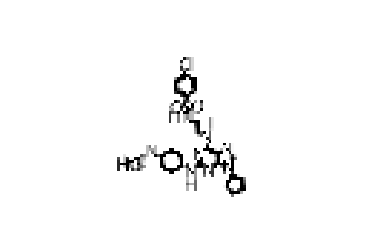 Cl.Cl.N[C@H]1CC[C@H](Nc2nc(NCCNS(=O)(=O)c3ccc(Cl)cc3)c3ncn(C4CCCC4)c3n2)CC1